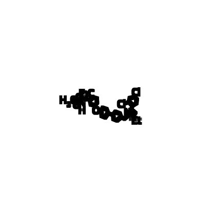 CCn1cc(-c2ccc(Cl)cc2Cl)nc1Cc1ccc(-c2ccc(Oc3ccc(C(F)(F)F)c(C(=O)NS(C)(=O)=O)c3)cc2)cc1